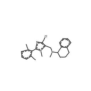 Cc1cccc(C)c1-c1nc(Cl)c(CN(C)C2CCCc3ccccc32)n1C